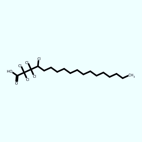 CCCCCCCCCCCCCCC(Cl)C(Cl)(Cl)C(Cl)(Cl)C(=O)O